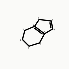 [CH]1CCCC2=C1C=CC2